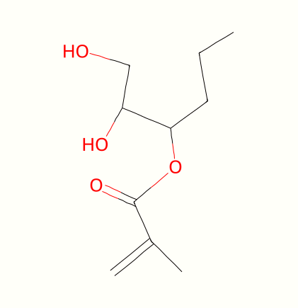 C=C(C)C(=O)OC(CCC)C(O)CO